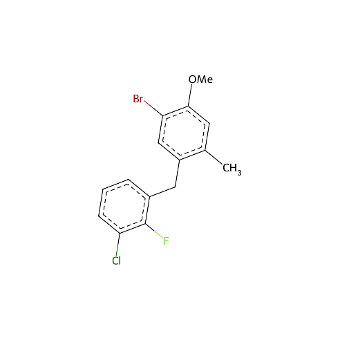 COc1cc(C)c(Cc2cccc(Cl)c2F)cc1Br